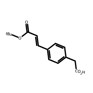 CC(C)(C)OC(=O)C=Cc1ccc(CC(=O)O)cc1